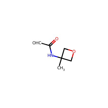 CC1(NC(=O)C=O)COC1